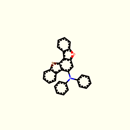 c1ccc(N(c2ccccc2)c2cc3oc4ccccc4c3c3sc4ccccc4c23)cc1